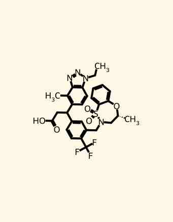 CCn1nnc2c(C)c(C(CC(=O)O)c3ccc(C(F)(F)F)c(CN4C[C@@H](C)Oc5ccccc5S4(=O)=O)c3)ccc21